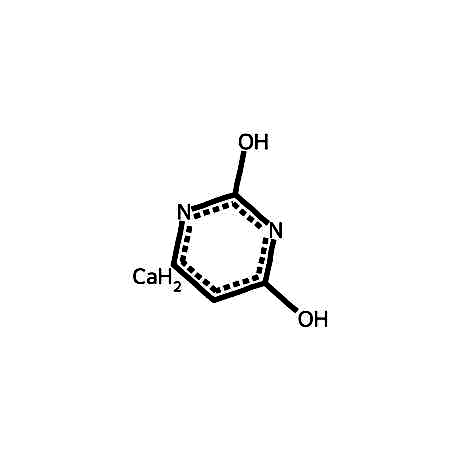 Oc1ccnc(O)n1.[CaH2]